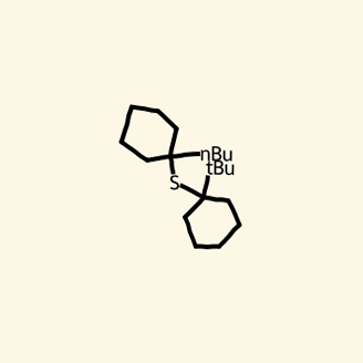 CCCCC1(SC2(C(C)(C)C)CCCCC2)CCCCC1